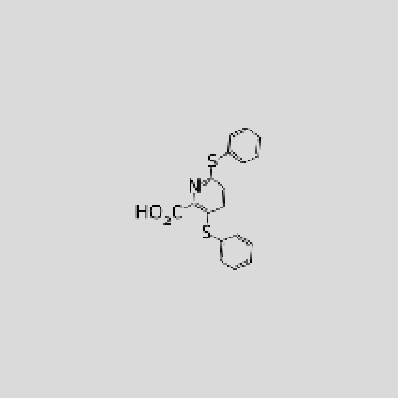 O=C(O)c1nc(Sc2ccccc2)ccc1Sc1ccccc1